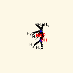 CCCCCCCCC(CCCCCC)CN(CC(CCCCCC)CCCCCCCC)C1C=CC(C2C(=O)C(=O)C(c3ccc(N(CCCCCCCC)CCCCCCCC)c(O)c3)=C2O)C(O)=C1